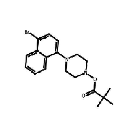 CC(C)(C)C(=O)ON1CCN(c2ccc(Br)c3ccccc23)CC1